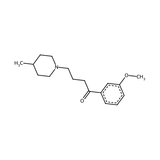 COc1cccc(C(=O)CCCN2CCC(C)CC2)c1